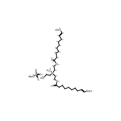 CCCCCCCCC=CCCCCCCCC(=O)OCC[N+](C)(CCO)CCOC(=O)CCCCCCCC=CCCCCCCCC.COS(=O)(=O)[O-]